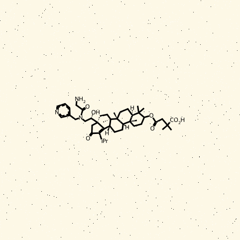 CC(C)C1=C2[C@H]3CC[C@@H]4[C@@]5(C)CCC(OC(=O)CC(C)(C)C(=O)O)C(C)(C)[C@@H]5CC[C@@]4(C)[C@]3(C)CC[C@@]2([C@@H](O)CN(Cc2cccnc2)C(=O)CN)CC1=O